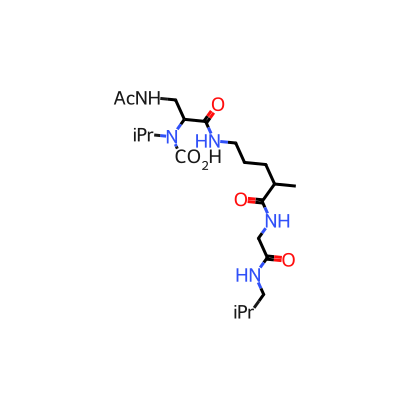 CC(=O)NCC(C(=O)NCCCC(C)C(=O)NCC(=O)NCC(C)C)N(C(=O)O)C(C)C